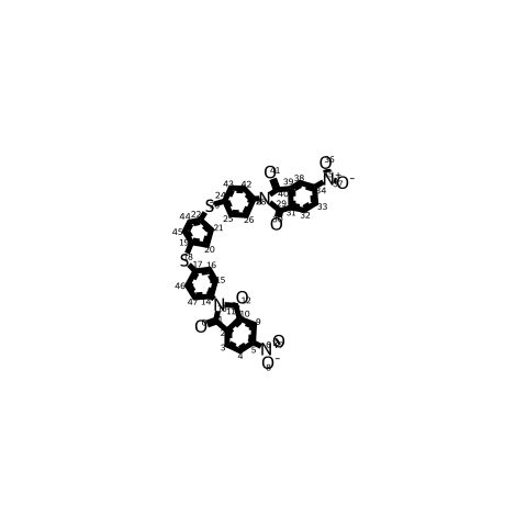 O=C1c2ccc([N+](=O)[O-])cc2C(=O)N1c1ccc(Sc2ccc(Sc3ccc(N4C(=O)c5ccc([N+](=O)[O-])cc5C4=O)cc3)cc2)cc1